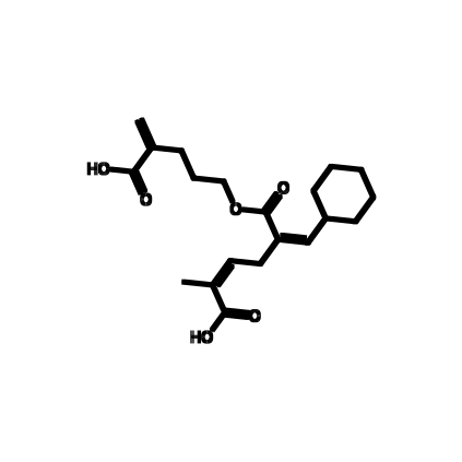 C=C(CCCOC(=O)C(=CC1CCCCC1)CC=C(C)C(=O)O)C(=O)O